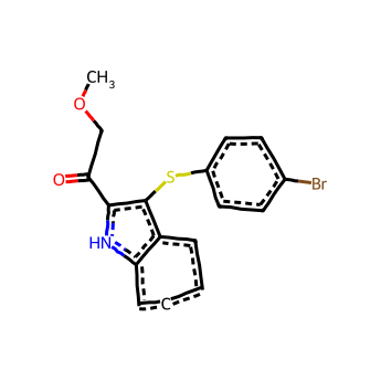 COCC(=O)c1[nH]c2ccccc2c1Sc1ccc(Br)cc1